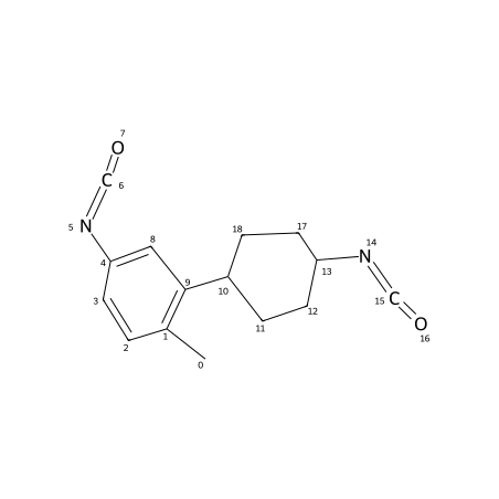 Cc1ccc(N=C=O)cc1C1CCC(N=C=O)CC1